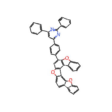 c1ccc(-c2cc(-c3ccc(-c4cc5oc6ccc7c8ccccc8oc7c6c5c5c4oc4ccccc45)cc3)nc(-c3ccccc3)n2)cc1